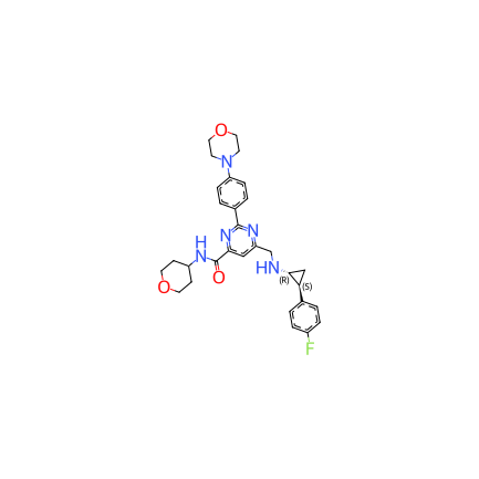 O=C(NC1CCOCC1)c1cc(CN[C@@H]2C[C@H]2c2ccc(F)cc2)nc(-c2ccc(N3CCOCC3)cc2)n1